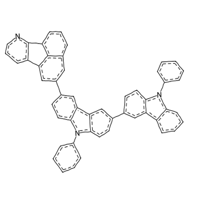 c1ccc(-n2c3ccccc3c3cc(-c4ccc5c(c4)c4cc(-c6cc7c8c(cccc8c6)-c6ncccc6-7)ccc4n5-c4ccccc4)ccc32)cc1